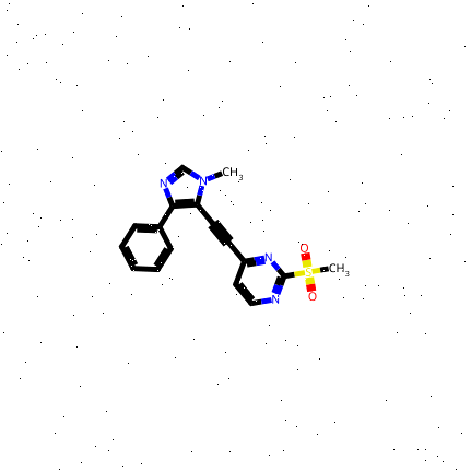 Cn1cnc(-c2ccccc2)c1C#Cc1ccnc(S(C)(=O)=O)n1